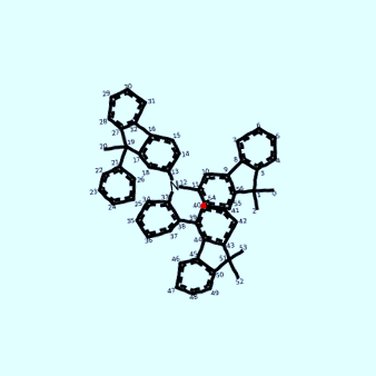 CC1(C)c2ccccc2-c2cc(N(c3ccc4c(c3)C(C)(c3ccccc3)c3ccccc3-4)c3ccccc3-c3cccc4c3-c3ccccc3C4(C)C)ccc21